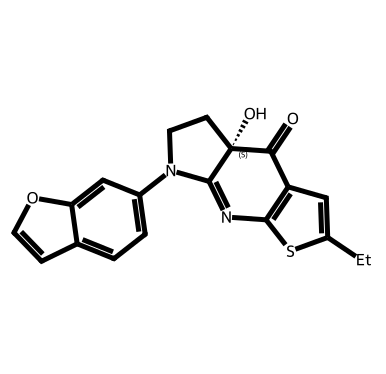 CCc1cc2c(s1)N=C1N(c3ccc4ccoc4c3)CC[C@@]1(O)C2=O